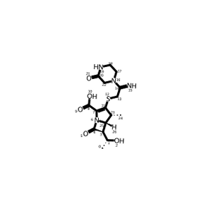 C[C@@H](O)[C@H]1C(=O)N2C(C(=O)O)=C(SCC(=N)N3CCNC(=O)C3)[C@H](C)[C@H]12